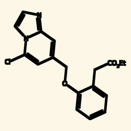 CCOC(=O)Cc1ccccc1OCc1cc(Cl)n2ccnc2c1